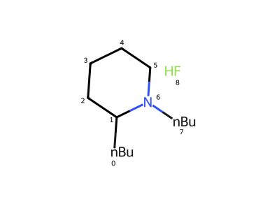 CCCCC1CCCCN1CCCC.F